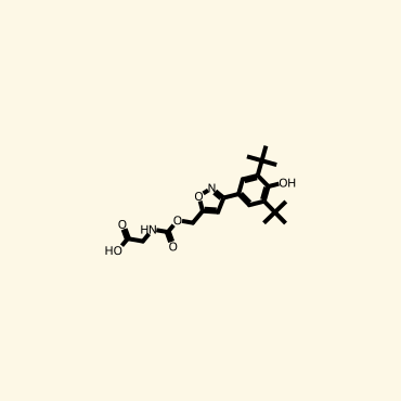 CC(C)(C)c1cc(-c2cc(COC(=O)NCC(=O)O)on2)cc(C(C)(C)C)c1O